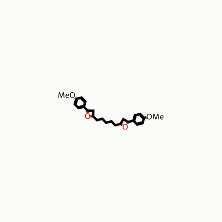 COc1ccc(C2CC(CCCCCC3CC(c4ccc(OC)cc4)O3)O2)cc1